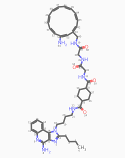 CCCCc1nc2c(N)nc3ccccc3c2n1CCCCNC(=O)C1CCC(C(=O)NCC(=O)NCC(=O)NCc2cccccccccccc(N)c2)CC1